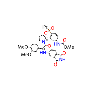 COC(=O)Nc1ccc(S(=O)(=O)C(C)C)c([C@H]2CCCN2C(=O)[C@H](Nc2ccc3c(c2)C(=O)NC3=O)c2ccc(OC)c(OC)c2)c1